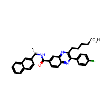 C[C@H](NC(=O)c1ccc2nc(-c3ccc(F)cc3)c(CCCCC(=O)O)nc2c1)c1ccc2ccccc2c1